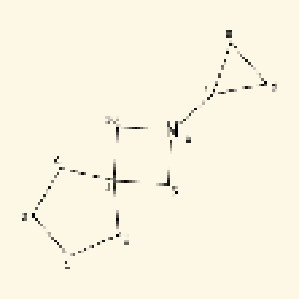 C1CCC2(C1)CN(C1CC1)C2